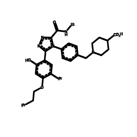 CCNC(=O)c1nnc(-c2cc(C(C)C)c(OCCC(C)C)cc2O)n1-c1ccc(CN2CCC(C(=O)O)CC2)cc1